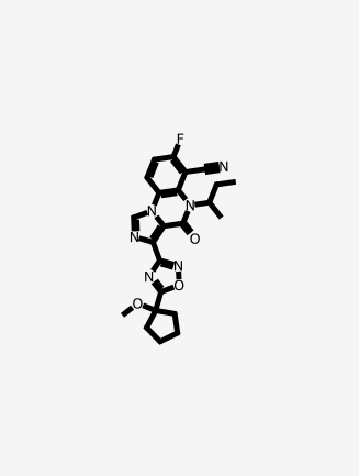 CCC(C)n1c(=O)c2c(-c3noc(C4(OC)CCCC4)n3)ncn2c2ccc(F)c(C#N)c21